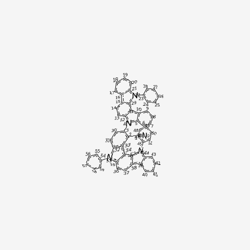 N#Cc1c(-n2c3ccccc3c3c2ccc2c4ccccc4n(-c4ccccc4)c23)ccc2c1c1c(ccc3c4ccccc4n(-c4ccccc4)c31)n2-c1ccccc1